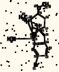 [2H]C1([2H])OC(N)=NC12c1cc(Br)ccc1C[C@@]21CC[C@H](OC)[C@@H](C)C1